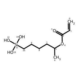 C=CC(=O)OC(C)CCCC[Si](O)(O)O